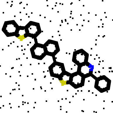 c1ccc(-c2nc3ccccc3c3c2ccc2sc4ccc(-c5cccc6c(-c7cccc8c7sc7ccccc78)cccc56)cc4c23)cc1